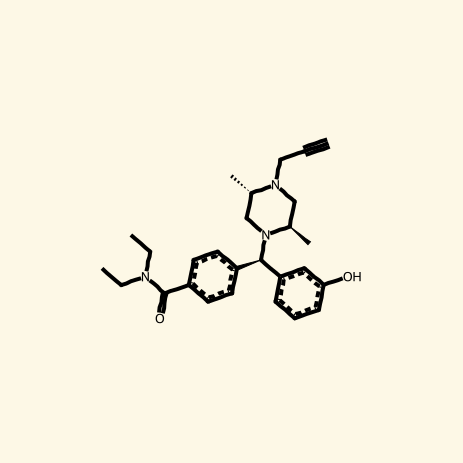 C#CCN1C[C@@H](C)N([C@H](c2ccc(C(=O)N(CC)CC)cc2)c2cccc(O)c2)C[C@@H]1C